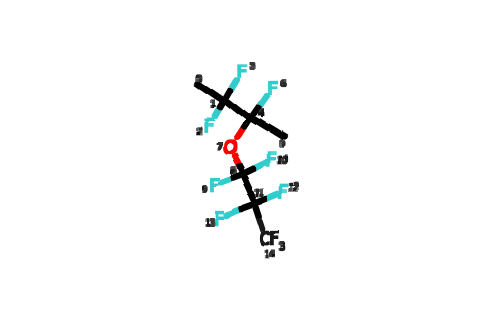 CC(F)(F)C(C)(F)OC(F)(F)C(F)(F)C(F)(F)F